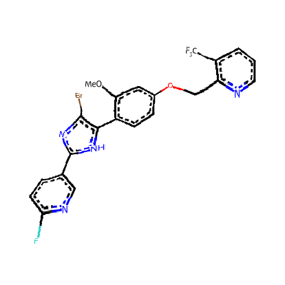 COc1cc(OCc2ncccc2C(F)(F)F)ccc1-c1[nH]c(-c2ccc(F)nc2)nc1Br